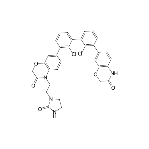 O=C1COc2cc(-c3cccc(-c4cccc(-c5ccc6c(c5)OCC(=O)N6CCN5CCNC5=O)c4Cl)c3Cl)ccc2N1